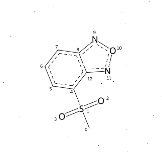 CS(=O)(=O)c1cccc2nonc12